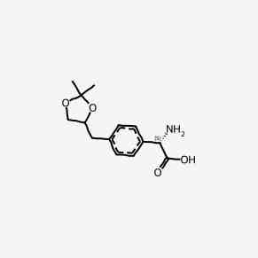 CC1(C)OCC(Cc2ccc([C@H](N)C(=O)O)cc2)O1